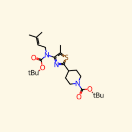 CC(C)=CCN(C(=O)OC(C)(C)C)c1nc(C2CCN(C(=O)OC(C)(C)C)CC2)sc1C